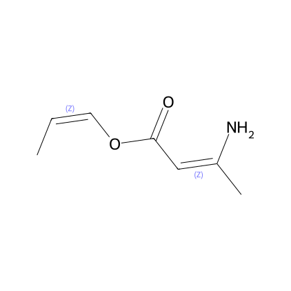 C/C=C\OC(=O)/C=C(/C)N